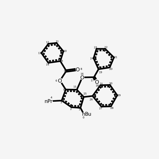 CCCCc1cc(CCC)c(OC(=O)c2ccccc2)c(OC(=O)c2ccccc2)c1-c1ccccc1